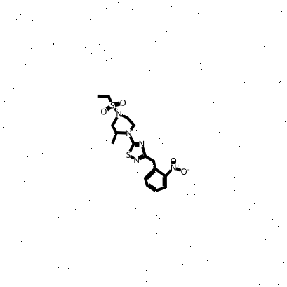 CCS(=O)(=O)N1CCN(c2nc(Cc3ccccc3[N+](=O)[O-])ns2)C(C)C1